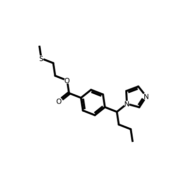 CCCC(c1ccc(C(=O)OCCSC)cc1)n1ccnc1